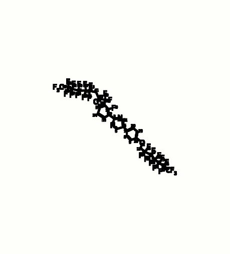 Fc1c(-c2ncc(-c3ccc(OCC(F)(F)C(F)(F)C(F)(F)C(F)(F)C(F)(F)C(F)(F)F)cc3)cn2)ccc2c1C(F)(F)C(CC(F)(F)C(F)(F)C(F)(F)C(F)(F)C(F)(F)C(F)(F)F)O2